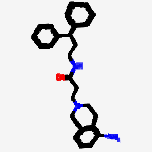 Nc1cccc2c1CCN(CCC(=O)NCCC(c1ccccc1)c1ccccc1)C2